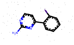 Nc1nccc(-c2ccccc2I)n1